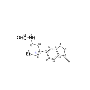 C=C1CCc2cc(/C(=C/CC)CCNC=O)ccc21